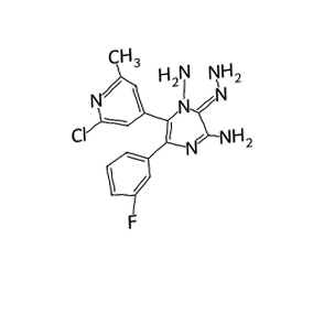 Cc1cc(-c2c(-c3cccc(F)c3)nc(N)/c(=N/N)n2N)cc(Cl)n1